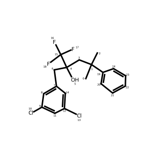 CC(C)(CC(O)(Cc1cc(Cl)cc(Cl)c1)C(F)(F)F)c1ccccc1